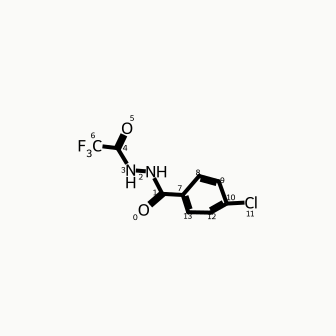 O=C(NNC(=O)C(F)(F)F)c1ccc(Cl)cc1